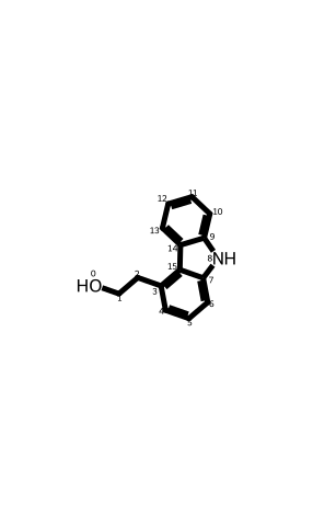 OCCc1cccc2[nH]c3ccccc3c12